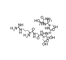 C[C@@H](O)[C@H](NC(=O)[C@H](CS)NC(=O)[C@H](CO)NC(=O)[C@H](CC(=O)O)NC(=O)CNC(=O)[C@@H](N)CCCNC(=N)N)C(N)=O